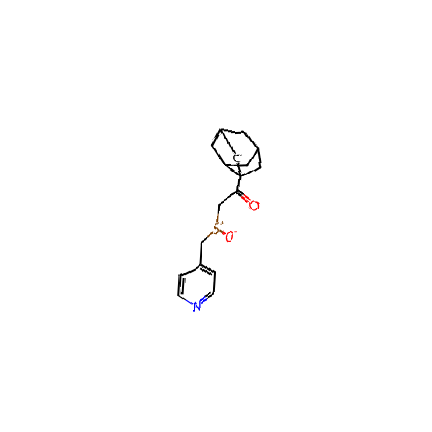 O=C(C[S+]([O-])Cc1ccncc1)C12CC3CC(CC1C3)C2